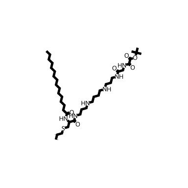 [CH2][CH]CSCC(NC(=O)CCCCCCCCCCCCCCC)C(=O)NCCCNCCCCNCCCNC(=O)CNC(=O)C(=O)OC(C)(C)C